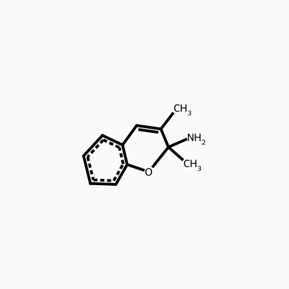 CC1=Cc2ccccc2OC1(C)N